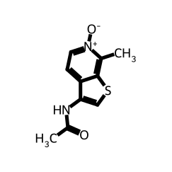 CC(=O)Nc1csc2c(C)[n+]([O-])ccc12